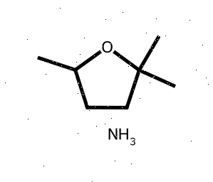 CC1CCC(C)(C)O1.N